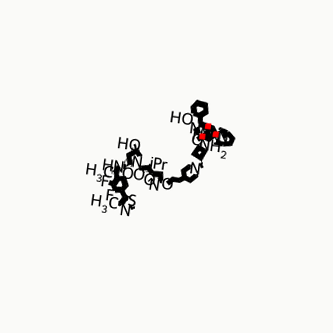 Cc1ncsc1-c1ccc([C@H](C)NC(=O)[C@@H]2C[C@@H](O)CN2C(=O)[C@H](c2cc(OCCC3CCN(C[C@H]4C[C@H](Oc5cc(N6C7CCC6CN(c6cc(-c8ccccc8O)nnc6N)C7)ccn5)C4)CC3)no2)C(C)C)c(F)c1F